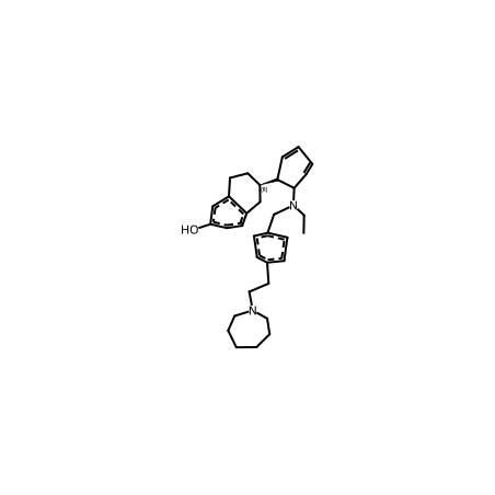 CCN(Cc1ccc(CCN2CCCCCC2)cc1)C1C=CC=CC1[C@@H]1CCc2cc(O)ccc2C1